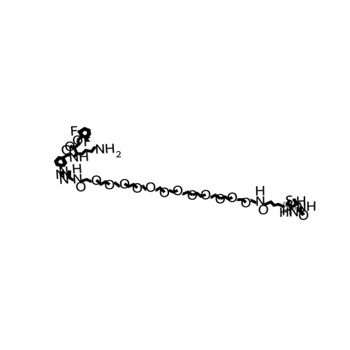 NCCCCC(NC(=O)c1cccc(-n2cc(CNC(=O)CCOCCOCCOCCOCCOCCOCCOCCOCCOCCOCCOCCOCCNC(=O)CCCC[C@@H]3SC[C@@H]4NC(=O)N[C@@H]43)nn2)c1)C(=O)COc1c(F)cccc1F